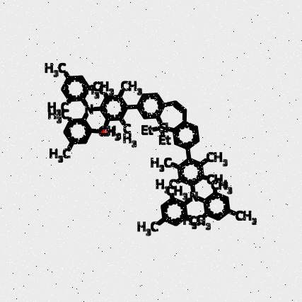 CC[Si]1(CC)c2cc(-c3c(C)c(C)c(N(c4c(C)cc(C)cc4C)c4c(C)cc(C)cc4C)c(C)c3C)ccc2C=Cc2ccc(-c3c(C)c(C)c(N(c4c(C)cc(C)cc4C)c4c(C)cc(C)cc4C)c(C)c3C)cc21